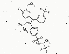 CCc1cc2c(cc1F)c(C(N)=O)c(-c1ccc(S(=O)(=O)N[C@@H](C)C(F)(F)F)cn1)n2-c1cccc(C(F)(F)F)c1